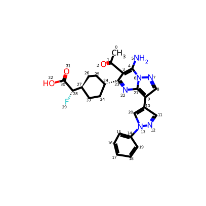 CC(=O)c1c(N)n2ncc(-c3cnn(-c4ccccc4)c3)c2nc1[C@H]1CC[C@H]([C@H](F)C(=O)O)CC1